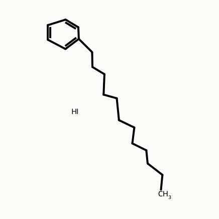 CCCCCCCCCCCCc1ccccc1.I